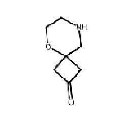 O=C1CC2(CNCCO2)C1